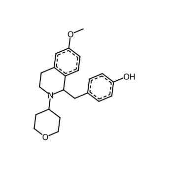 COc1ccc2c(c1)CCN(C1CCOCC1)C2Cc1ccc(O)cc1